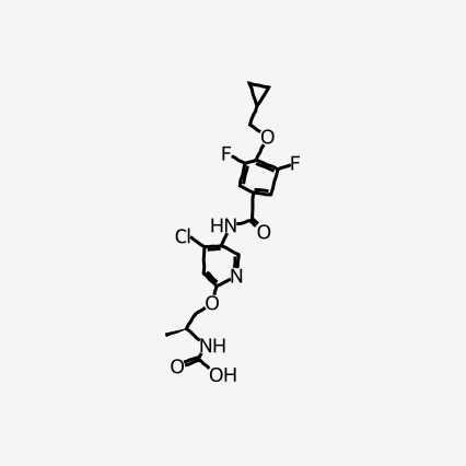 C[C@@H](COc1cc(Cl)c(NC(=O)c2cc(F)c(OCC3CC3)c(F)c2)cn1)NC(=O)O